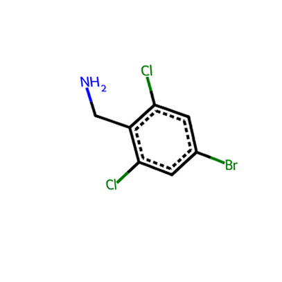 NCc1c(Cl)cc(Br)cc1Cl